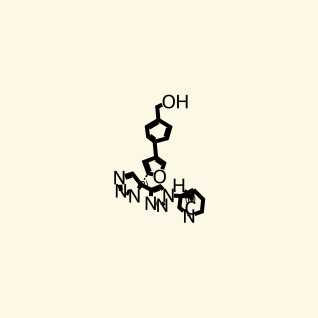 OCc1ccc(-c2coc([C@@]3(c4cn([C@H]5CN6CCC5CC6)nn4)C=NN=N3)c2)cc1